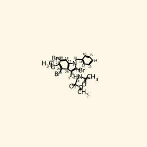 COC(=O)[C@H](Cc1c(Br)n(Cc2ccccc2)c2cc(Br)c(OC)c(Br)c12)NC(C)=O